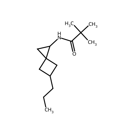 CCCC1CC2(C1)CC2NC(=O)C(C)(C)C